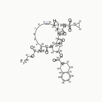 O=C(N[C@H]1CCCCC/C=C\[C@@H]2C[C@@]2(C(=O)NS(=O)(=O)C2CC2)NC(=O)[C@@H]2C[C@@H](OC(=O)N3CCc4ccccc4C3)CN2C1=O)OCC(F)(F)F